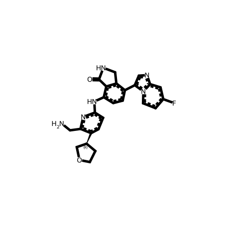 NCc1nc(Nc2ccc(-c3cnc4cc(F)ccn34)c3c2C(=O)NC3)ccc1[C@H]1CCOC1